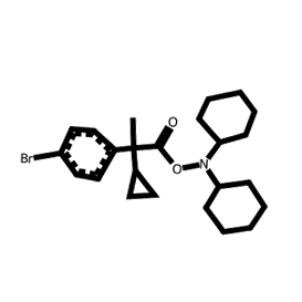 CC(C(=O)ON(C1CCCCC1)C1CCCCC1)(c1ccc(Br)cc1)C1CC1